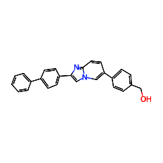 OCc1ccc(-c2ccc3nc(-c4ccc(-c5ccccc5)cc4)cn3c2)cc1